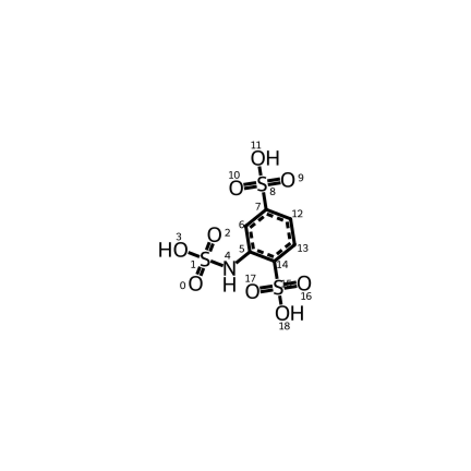 O=S(=O)(O)Nc1cc(S(=O)(=O)O)ccc1S(=O)(=O)O